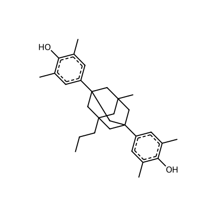 CCCC12CC3(C)CC(c4cc(C)c(O)c(C)c4)(C1)CC(c1cc(C)c(O)c(C)c1)(C3)C2